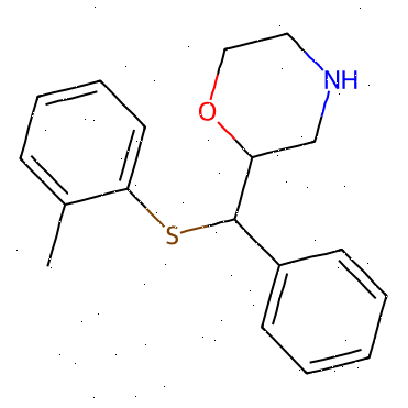 Cc1ccccc1SC(c1ccccc1)C1CNCCO1